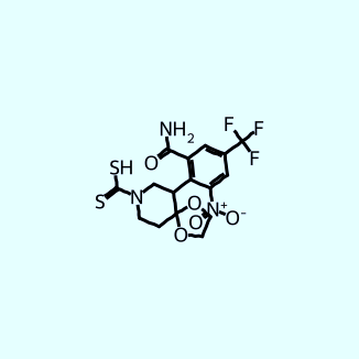 NC(=O)c1cc(C(F)(F)F)cc([N+](=O)[O-])c1C1CN(C(=S)S)CCC12OCCO2